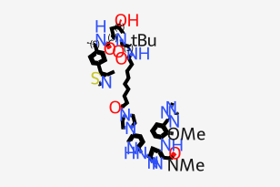 CNC(=O)c1nnc(Nc2ccc(N3CCN(C(=O)CCCCCCCC(=O)N[C@H](C(=O)N4C[C@H](O)C[C@H]4C(=O)N[C@@H](C)c4ccc(-c5scnc5C)cc4)C(C)(C)C)CC3)cn2)cc1Nc1cccc(-c2ncn(C)n2)c1OC